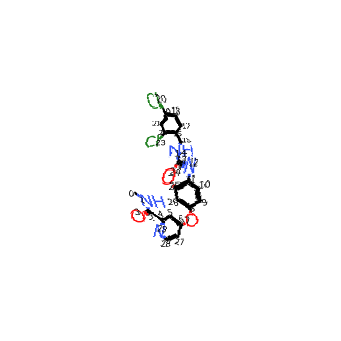 CNC(=O)c1cc(Oc2ccc3nc(NCc4ccc(Cl)cc4Cl)oc3c2)ccn1